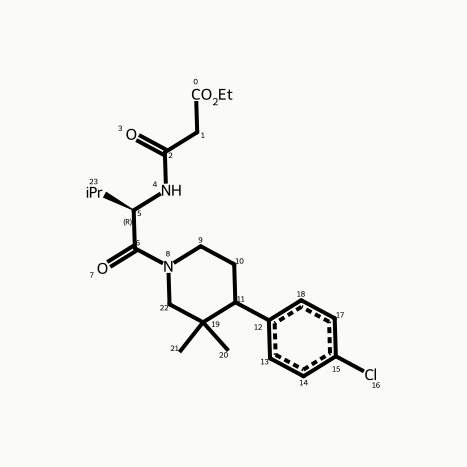 CCOC(=O)CC(=O)N[C@@H](C(=O)N1CCC(c2ccc(Cl)cc2)C(C)(C)C1)C(C)C